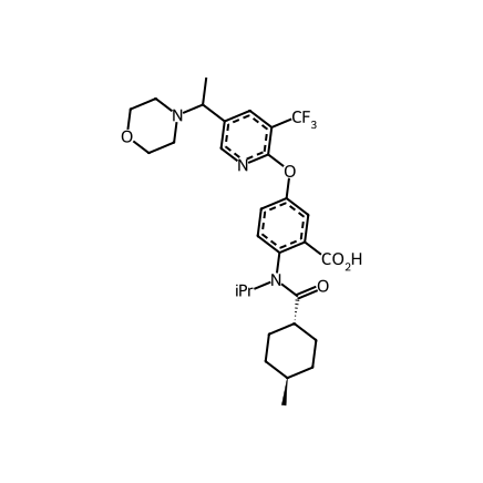 CC(c1cnc(Oc2ccc(N(C(=O)[C@H]3CC[C@H](C)CC3)C(C)C)c(C(=O)O)c2)c(C(F)(F)F)c1)N1CCOCC1